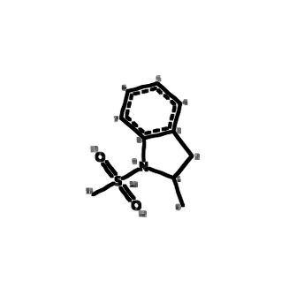 CC1Cc2ccccc2N1S(C)(=O)=O